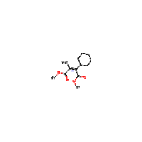 CCCCCCCC/C(C(=O)OCCC)=C(/C(=O)OCCC)C1CCCCC1